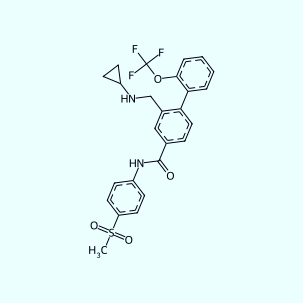 CS(=O)(=O)c1ccc(NC(=O)c2ccc(-c3ccccc3OC(F)(F)F)c(CNC3CC3)c2)cc1